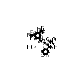 CN1C(=O)CN[C@@H](c2ccccc2)[C@H]1COCc1cc(C(F)(F)F)cc(C(F)(F)F)c1.Cl